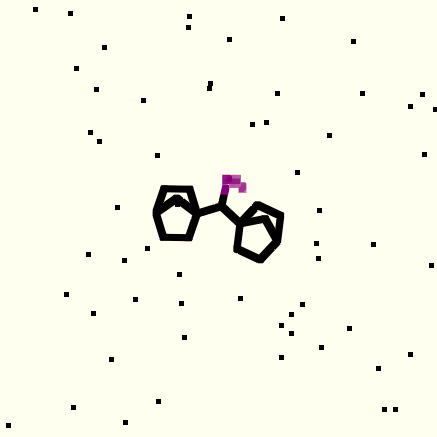 PC(C12CCC(CC1)C2)C12CCC(CC1)C2